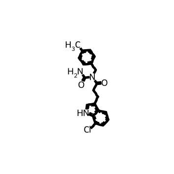 Cc1ccc(CN(C(N)=O)C(=O)CCc2c[nH]c3c(Cl)cccc23)cc1